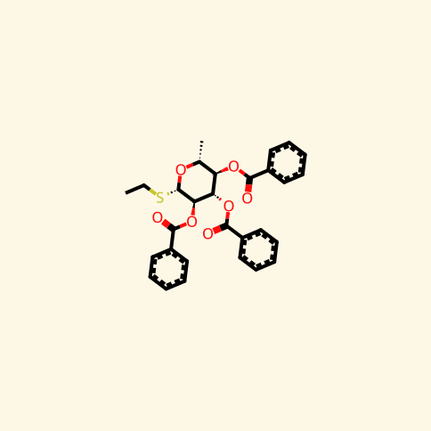 CCS[C@@H]1O[C@H](C)[C@@H](OC(=O)c2ccccc2)[C@H](OC(=O)c2ccccc2)[C@H]1OC(=O)c1ccccc1